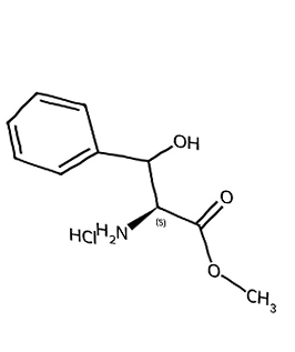 COC(=O)[C@@H](N)C(O)c1ccccc1.Cl